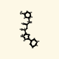 O=C(C[S+]([O-])c1nc(-c2cccnc2)n[nH]1)Nc1cccc(Cl)c1